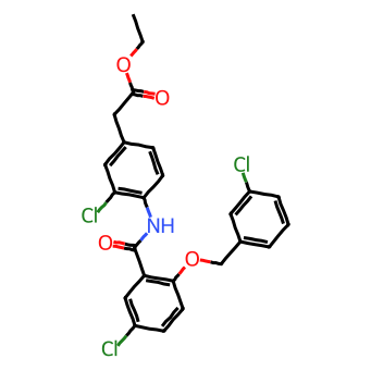 CCOC(=O)Cc1ccc(NC(=O)c2cc(Cl)ccc2OCc2cccc(Cl)c2)c(Cl)c1